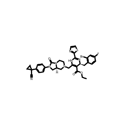 CCOC(=O)C1=C(CN2CCN3C(=O)N(c4ccc(C5(C#N)CC5)cc4)C[C@@H]3C2)NC(c2nccs2)=N[C@H]1Cc1ccc(F)cc1Br